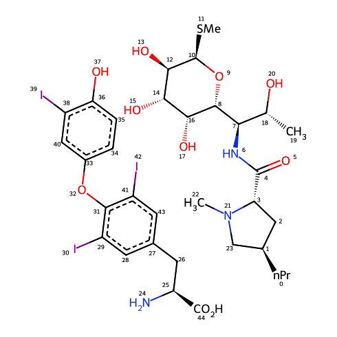 CCC[C@@H]1C[C@@H](C(=O)N[C@@H]([C@H]2O[C@H](SC)[C@H](O)[C@@H](O)[C@H]2O)[C@@H](C)O)N(C)C1.N[C@@H](Cc1cc(I)c(Oc2ccc(O)c(I)c2)c(I)c1)C(=O)O